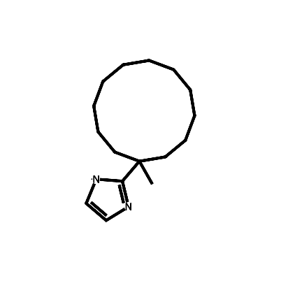 CC1(C2=NC=C[N]2)CCCCCCCCCCC1